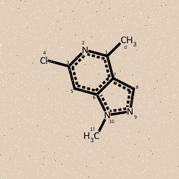 Cc1nc(Cl)cc2c1cnn2C